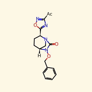 CC(=O)c1noc([C@@H]2CC[C@@H]3CN2C(=O)N3OCc2ccccc2)n1